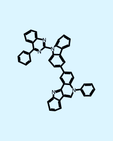 c1ccc(-c2nc(-n3c4ccccc4c4cc(-c5ccc6c(c5)c5nc7ccccc7c-5cn6-c5ccccc5)ccc43)nc3ccccc23)cc1